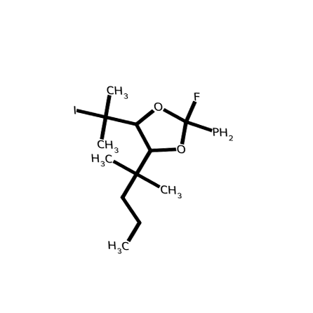 CCCC(C)(C)C1OC(F)(P)OC1C(C)(C)I